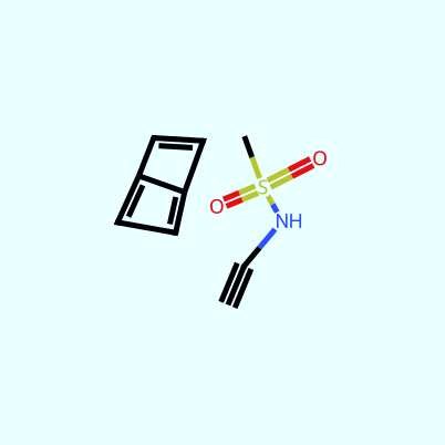 C#CNS(C)(=O)=O.c1cc2ccc1-2